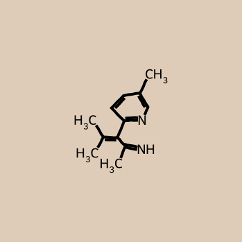 CC(=N)C(=C(C)C)c1ccc(C)cn1